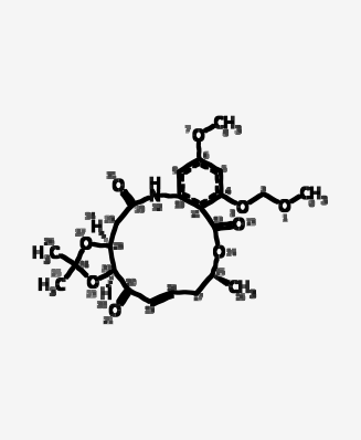 COCOc1cc(OC)cc2c1C(=O)O[C@@H](C)C/C=C/C(=O)[C@H]1OC(C)(C)O[C@H]1CC(=O)N2